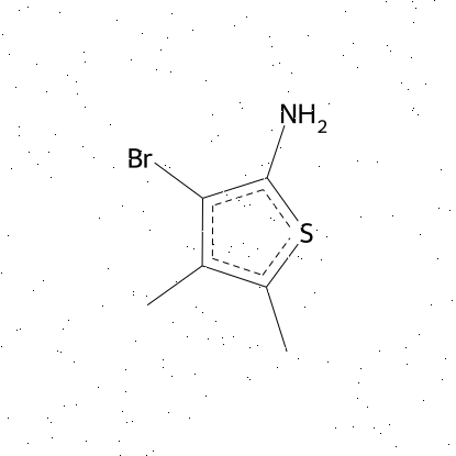 Cc1sc(N)c(Br)c1C